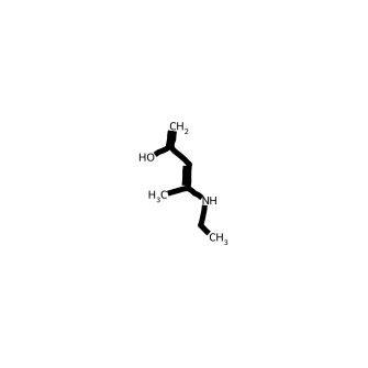 C=C(O)/C=C(\C)NCC